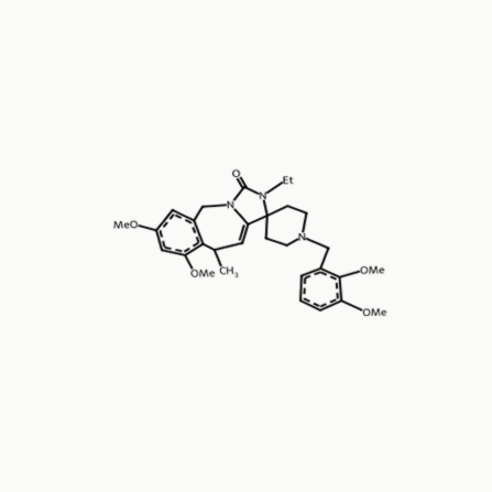 CCN1C(=O)N2Cc3cc(OC)cc(OC)c3C(C)C=C2C12CCN(Cc1cccc(OC)c1OC)CC2